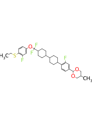 CCSc1ccc(OC(F)(F)C2CCC(C3CCC(c4ccc(C5OCC(C)CO5)cc4F)CC3)CC2)cc1F